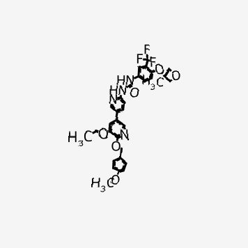 CCOc1cc(-c2ccc(NC(=O)Nc3ccc(OC4(C)COC4)c(C(F)(F)F)c3)nc2)cnc1OCc1ccc(OC)cc1